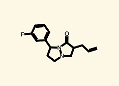 C=CCC1CN2CCC(c3cccc(F)c3)N2C1=O